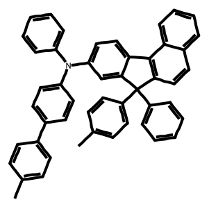 Cc1ccc(-c2ccc(N(c3ccccc3)c3ccc4c(c3)C(c3ccccc3)(c3ccc(C)cc3)c3ccc5ccccc5c3-4)cc2)cc1